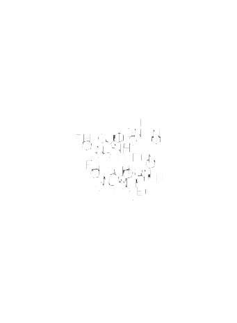 CCOC(=O)C1=CN(C(=O)c2ccc(F)cc2)CC(C)(C)c2c1[nH]c1cc(OC(=O)N(C)c3ccncc3)ccc21.CCOC(=O)C1=CN(C(=O)c2ccc(F)cc2)CC(C)(C)c2c1[nH]c1cc(OC(=O)NCCc3ccccn3)ccc21